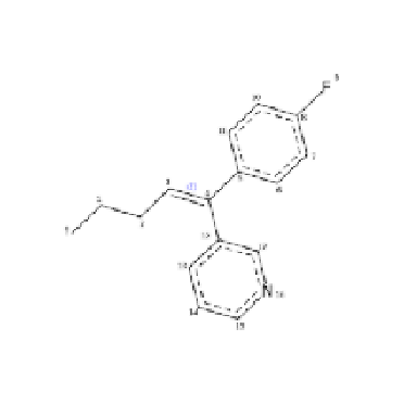 [CH2]CC/C=C(/c1ccc(F)cc1)c1cccnc1